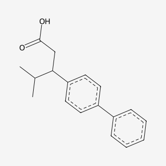 CC(C)C(CC(=O)O)c1ccc(-c2ccccc2)cc1